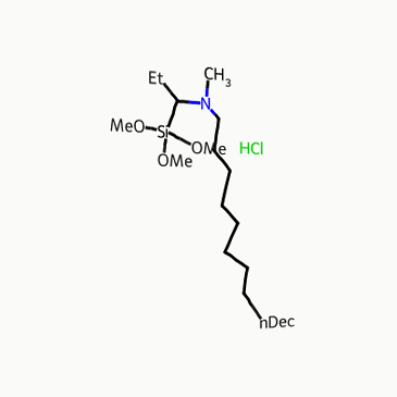 CCCCCCCCCCCCCCCCCCN(C)C(CC)[Si](OC)(OC)OC.Cl